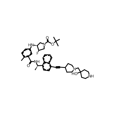 Cc1ccc(N[C@H]2CN(C(=O)OC(C)(C)C)C[C@H]2F)cc1C(=O)N[C@H](C)c1ccc(C#CC2CCN(CC3(O)CCNCC3)CC2)c2ccccc12